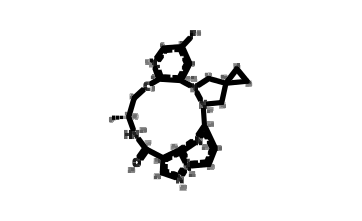 C[C@@H]1CCc2ncc(F)cc2N2CC3(CC3)CN2c2ccn3ncc(c3n2)C(=O)N1